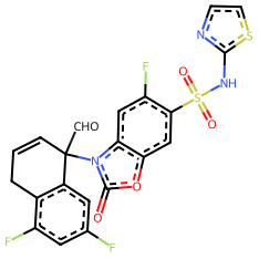 O=CC1(n2c(=O)oc3cc(S(=O)(=O)Nc4nccs4)c(F)cc32)C=CCc2c(F)cc(F)cc21